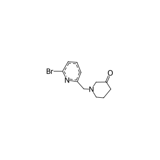 O=C1CCCN(Cc2cccc(Br)n2)C1